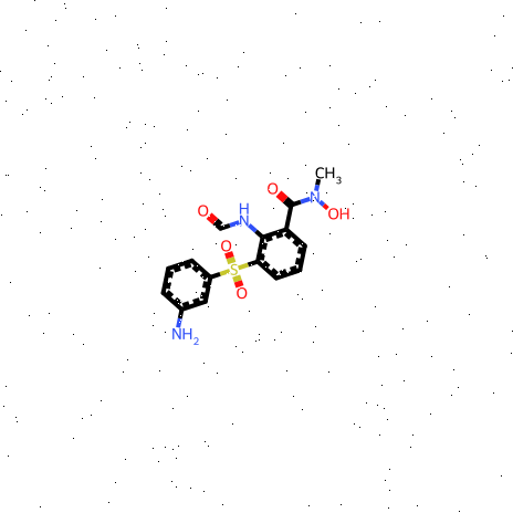 CN(O)C(=O)c1cccc(S(=O)(=O)c2cccc(N)c2)c1NC=O